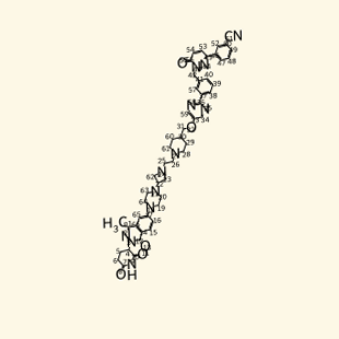 Cc1nn(C2CCC(=O)NC2=O)c(=O)c2ccc(N3CCN(C4CN(CCN5CCC(COc6cnc(-c7cccc(Cn8nc(-c9cccc(C#N)c9)ccc8=O)c7)nc6)CC5)C4)CC3)cc12